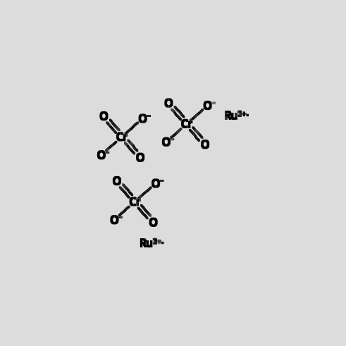 [O]=[Cr](=[O])([O-])[O-].[O]=[Cr](=[O])([O-])[O-].[O]=[Cr](=[O])([O-])[O-].[Ru+3].[Ru+3]